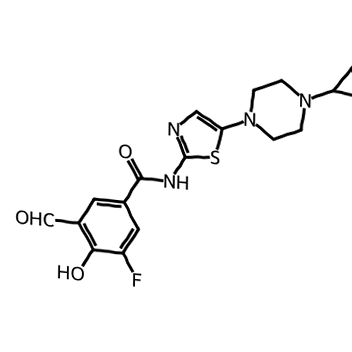 O=Cc1cc(C(=O)Nc2ncc(N3CCN(C4CC4)CC3)s2)cc(F)c1O